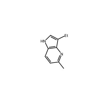 CCc1c[nH]c2ccc(C)nc12